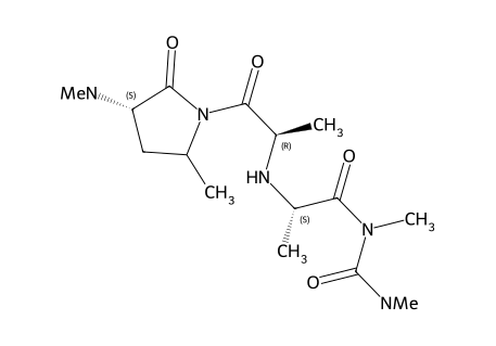 CNC(=O)N(C)C(=O)[C@H](C)N[C@H](C)C(=O)N1C(=O)[C@@H](NC)CC1C